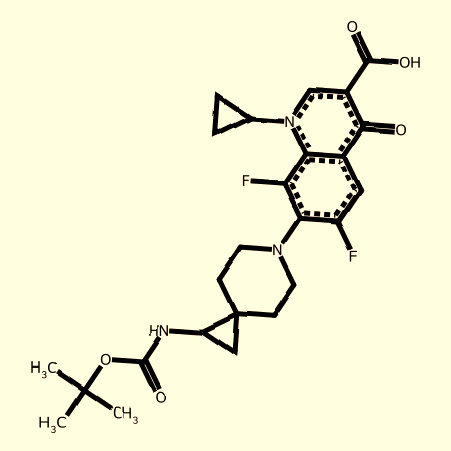 CC(C)(C)OC(=O)NC1CC12CCN(c1c(F)cc3c(=O)c(C(=O)O)cn(C4CC4)c3c1F)CC2